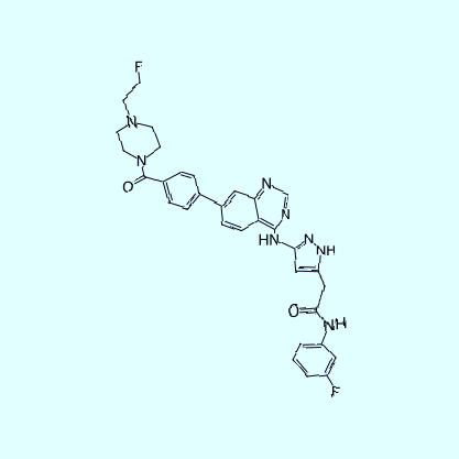 O=C(Cc1cc(Nc2ncnc3cc(-c4ccc(C(=O)N5CCN(CCF)CC5)cc4)ccc23)n[nH]1)Nc1cccc(F)c1